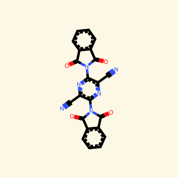 N#Cc1nc(N2C(=O)c3ccccc3C2=O)c(C#N)nc1N1C(=O)c2ccccc2C1=O